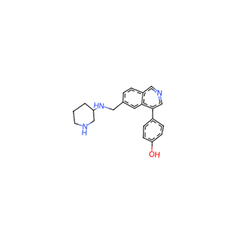 Oc1ccc(-c2cncc3ccc(CNC4CCCNC4)cc23)cc1